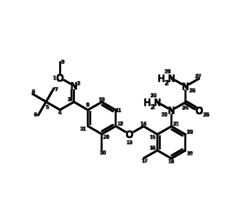 CO/N=C(\CC(C)(C)C)c1ccc(OCc2c(C)cccc2N(N)C(=O)N(C)N)c(C)c1